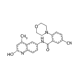 Cc1cc(O)nc2ccc(NC(=O)c3cc(C#N)ccc3N3CCOCC3)cc12